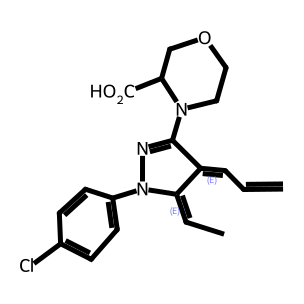 C=C/C=c1/c(N2CCOCC2C(=O)O)nn(-c2ccc(Cl)cc2)/c1=C/C